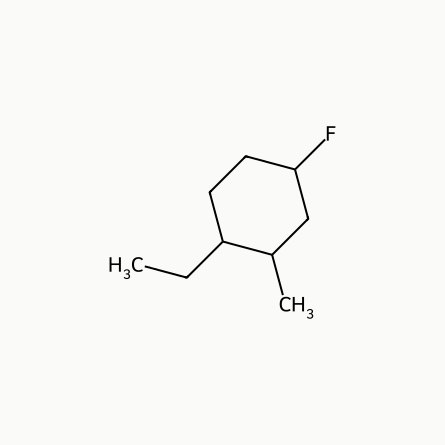 CCC1CCC(F)CC1C